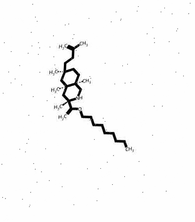 C=C(C)CC[C@@]1(C)CC[C@@]2(C)CN[C@](C)(C(=C)OCCCCCCCCC)C[C@@]2(C)C1